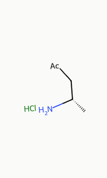 CC(=O)C[C@H](C)N.Cl